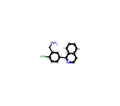 NCc1cc(-c2nccc3ccccc23)ccc1F